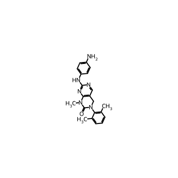 Cc1cccc(C)c1N1Cc2cnc(Nc3ccc(N)cc3)nc2N(C)C1=O